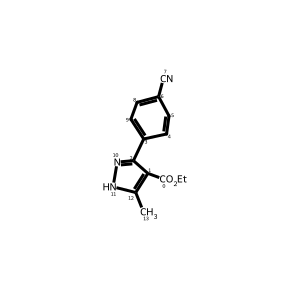 CCOC(=O)c1c(-c2ccc(C#N)cc2)n[nH]c1C